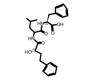 CC(C)CC(NC(=O)[C@@H](O)CCc1ccccc1)C(=O)N[C@@H](Cc1ccccc1)C(=O)O